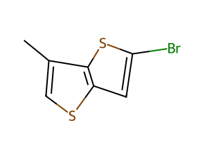 Cc1csc2cc(Br)sc12